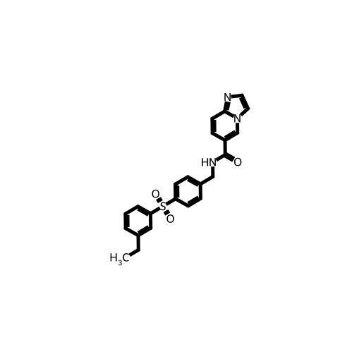 CCc1cccc(S(=O)(=O)c2ccc(CNC(=O)c3ccc4nccn4c3)cc2)c1